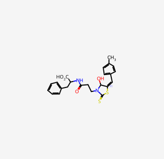 Cc1ccc(/C=C2/SC(=S)N(CCC(=O)NC(Cc3ccccc3)C(=O)O)C2O)cc1